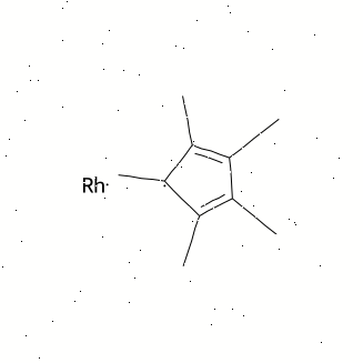 C[C]1C(C)=C(C)C(C)=C1C.[Rh]